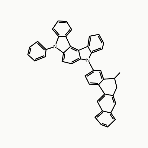 CC1Cc2cc3ccccc3cc2-c2ccc(-n3c4ccccc4c4c5c6ccccc6n(-c6ccccc6)c5ccc43)cc21